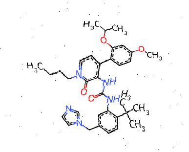 CCCCn1ccc(-c2ccc(OC)cc2OC(C)C)c(NC(=O)Nc2cc(Cn3ccnc3)ccc2C(C)(C)C)c1=O